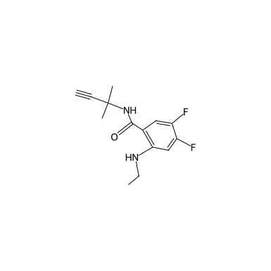 C#CC(C)(C)NC(=O)c1cc(F)c(F)cc1NCC